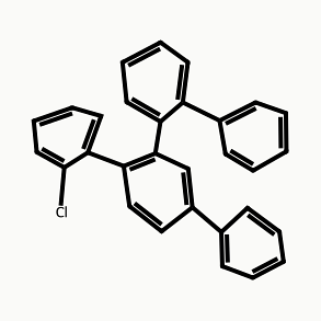 Clc1ccccc1-c1ccc(-c2ccccc2)cc1-c1ccccc1-c1ccccc1